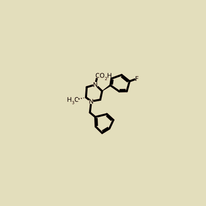 C[C@@H]1CN(C(=O)O)[C@@H](c2ccc(F)cc2)CN1Cc1ccccc1